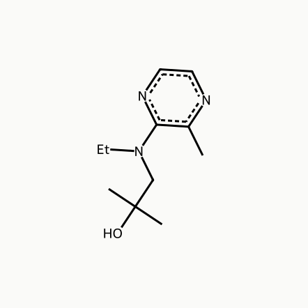 CCN(CC(C)(C)O)c1nccnc1C